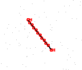 OCCCCOCCOCCOCCOCCOCCOCCOCCOCCOCCOCCO